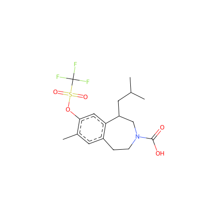 Cc1cc2c(cc1OS(=O)(=O)C(F)(F)F)C(CC(C)C)CN(C(=O)O)CC2